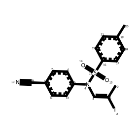 C/C(I)=C\N(c1ccc(C#N)cc1)S(=O)(=O)c1ccc(C)cc1